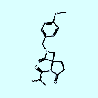 C=C1N(Cc2ccc(OC)cc2)CC12CCC(=O)N2C(=O)C(C)C